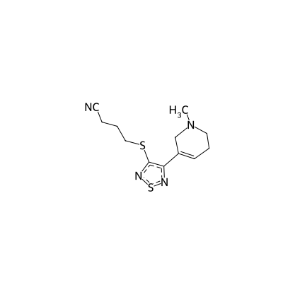 CN1CCC=C(c2nsnc2SCCCC#N)C1